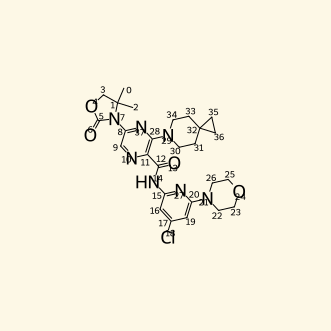 CC1(C)COC(=O)N1c1cnc(C(=O)Nc2cc(Cl)cc(N3CCOCC3)n2)c(N2CCC3(CC2)CC3)n1